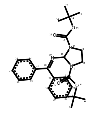 CC(C)(C)OC(=O)N1CCN(C(=O)OC(C)(C)C)C1N=C(c1ccccc1)c1ccccc1